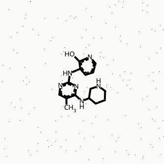 Cc1cnc(Nc2cccnc2O)nc1NC1CCCNC1